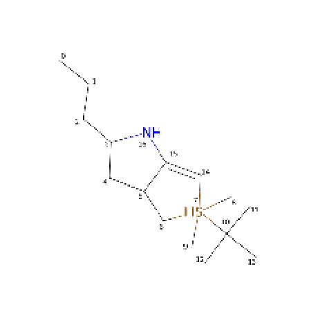 CCCC1CC2C[SH](C)(C)(C(C)(C)C)C=C2N1